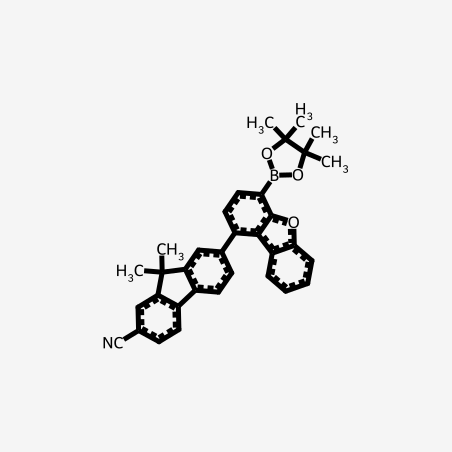 CC1(C)c2cc(C#N)ccc2-c2ccc(-c3ccc(B4OC(C)(C)C(C)(C)O4)c4oc5ccccc5c34)cc21